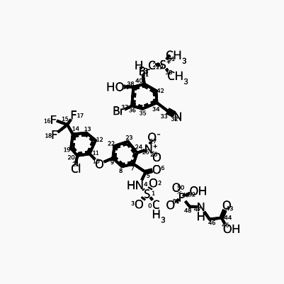 CS(=O)(=O)NC(=O)c1cc(Oc2ccc(C(F)(F)F)cc2Cl)ccc1[N+](=O)[O-].C[S+](C)C.N#Cc1cc(Br)c(O)c(Br)c1.O=C(O)CNCP(=O)([O-])O